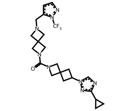 O=C(N1CC2(CC(n3cnc(C4CC4)n3)C2)C1)N1CC2(CN(Cc3ccnn3C(F)(F)F)C2)C1